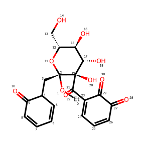 CCO[C@]1(CC2C=CC=CC2=O)O[C@H](CO)[C@@H](O)[C@H](O)[C@]1(O)C(=O)C1=CC=CC(=O)C1=O